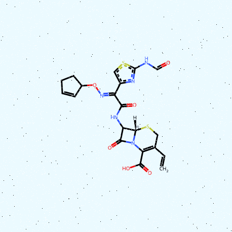 C=CC1=C(C(=O)O)N2C(=O)C(NC(=O)C(=NOC3C=CCC3)c3csc(NC=O)n3)[C@@H]2SC1